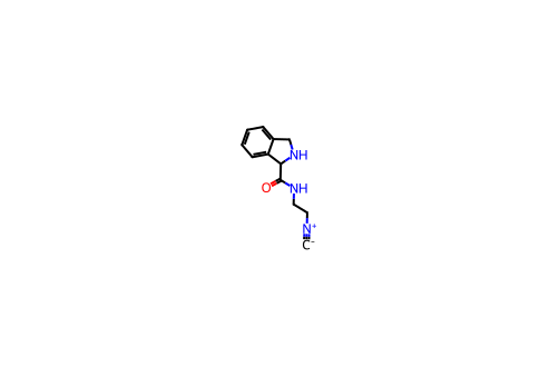 [C-]#[N+]CCNC(=O)C1NCc2ccccc21